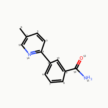 Cc1ccc(-c2cccc(C(N)=O)c2)nc1